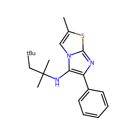 Cc1cn2c(NC(C)(C)CC(C)(C)C)c(-c3ccccc3)nc2s1